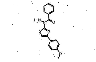 COc1ccc(-c2csc(N(N)C(=O)c3ccccc3)n2)cc1